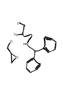 ClCC1CO1.OC(CCl)CNC(c1ccccc1)c1ccccc1